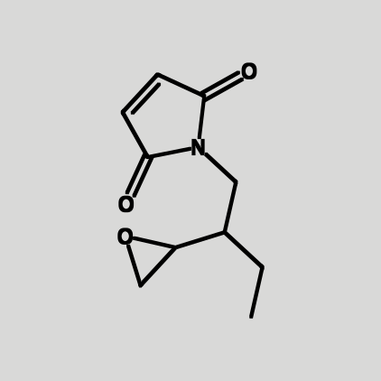 CCC(CN1C(=O)C=CC1=O)C1CO1